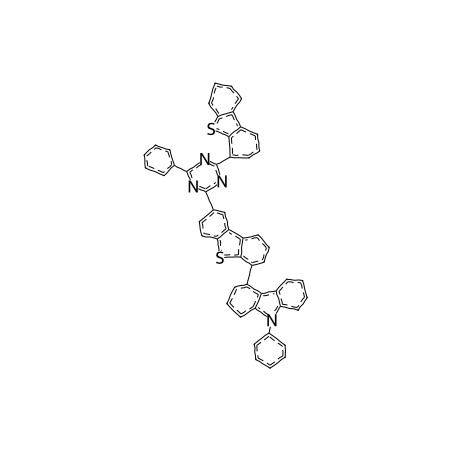 c1ccc(-c2nc(-c3ccc4sc5c(-c6cccc7c6c6ccccc6n7-c6ccccc6)cccc5c4c3)nc(-c3cccc4c3sc3ccccc34)n2)cc1